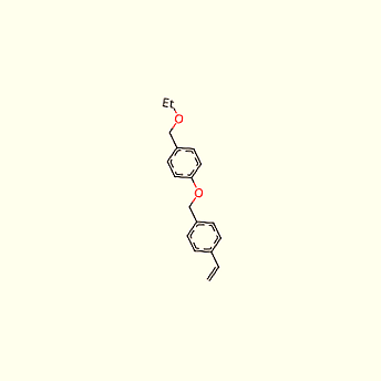 C=Cc1ccc(COc2ccc(COCC)cc2)cc1